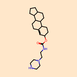 O=C(NCCN1CCNCC1)OC1C=C2CCC3C4CCCC4CCC3C2CC1